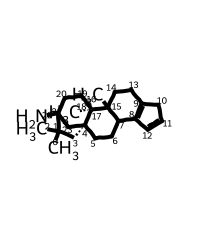 CC1(C)C[C@@]23CCC4C5=C(CC=C5)CCC4(C)[C@]2(C)CCC1(N)C3